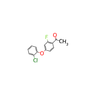 CC(=O)c1ccc(Oc2ccccc2Cl)cc1F